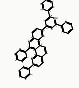 c1ccc(-c2ccc3ccc4c5cc(-c6cc(-c7ccccn7)nc(-c7ccccn7)c6)ccc5nc(-c5ccccc5)c4c3n2)cc1